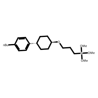 CCCCc1ccc([C@H]2CC[C@H](OCCC[Si](OC)(OC)OC)CC2)cc1